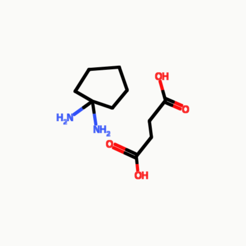 NC1(N)CCCCC1.O=C(O)CCC(=O)O